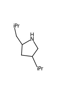 CC(C)CC1CC(C(C)C)CN1